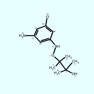 CC(C)(O)C(C)(C)OBc1cc(N)cc(Cl)c1